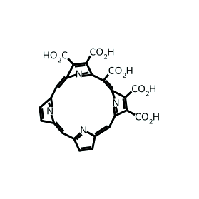 O=C(O)C1=C2N=C(C=C3C=CC(=N3)C=C3C=CC(=N3)C=C3N=C1C(C(=O)O)=C3C(=O)O)C(C(=O)O)=C2C(=O)O